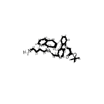 CC(C)(C)OC(=O)Cn1c2ccccc2c2cc(CN(CCCCN)[C@H]3CCCc4cccnc43)ncc21